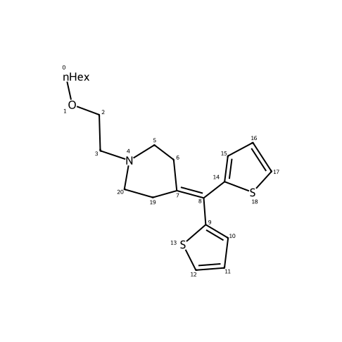 CCCCCCOCCN1CCC(=C(c2cccs2)c2cccs2)CC1